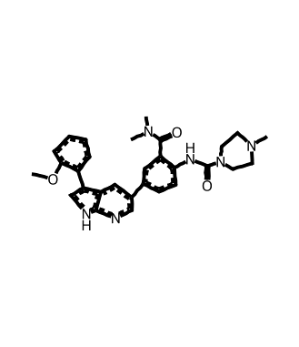 COc1ccccc1-c1c[nH]c2ncc(-c3ccc(NC(=O)N4CCN(C)CC4)c(C(=O)N(C)C)c3)cc12